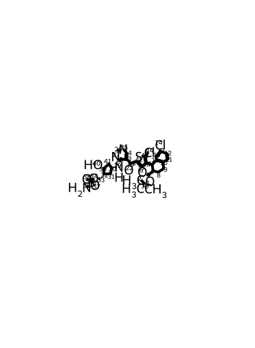 CC(C)(C)OC(=O)C1CCc2ccc(Cl)cc2C1c1cc(C(=O)c2cncnc2N[C@@H]2C[C@H](COS(N)(=O)=O)[C@@H](O)C2)sc1Cl